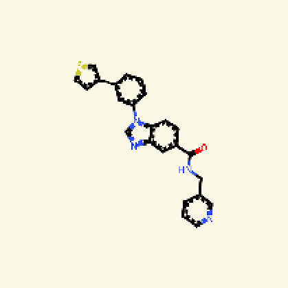 O=C(NCc1cccnc1)c1ccc2c(c1)ncn2-c1cccc(-c2ccsc2)c1